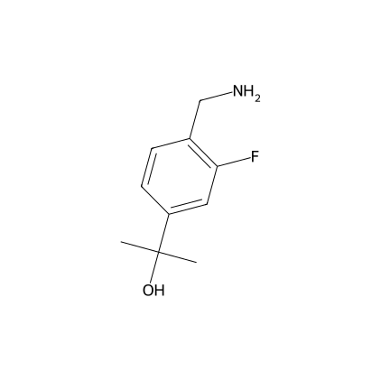 CC(C)(O)c1ccc(CN)c(F)c1